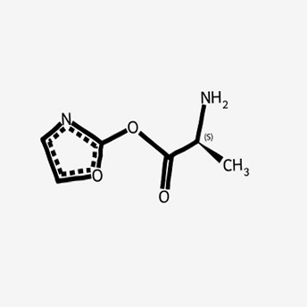 C[C@H](N)C(=O)Oc1ncco1